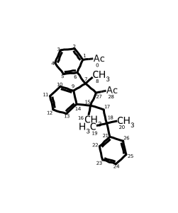 CC(=O)c1ccccc1C1(C)c2ccccc2C(C)(CC(C)(C)c2ccccc2)C1C(C)=O